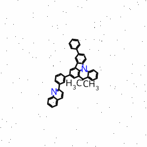 CC1(C)c2ccccc2-n2c3ccc(-c4ccccc4)cc3c3cc(-c4cccc(-c5ccc6ccccc6n5)c4)cc1c32